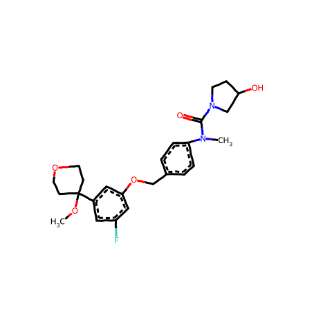 COC1(c2cc(F)cc(OCc3ccc(N(C)C(=O)N4CCC(O)C4)cc3)c2)CCOCC1